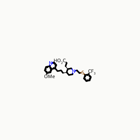 COc1ccc2nccc(CCC[C@@H]3CCN(CCSc4ccccc4C(F)(F)F)C[C@@H]3CCC(=O)O)c2c1